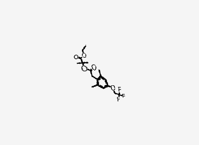 CCOC(=O)C(C)(C)OC(=O)Cc1c(C)cc(OCC(F)(F)F)cc1C